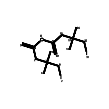 C=C(CC(C)(C)CI)OC(=C)CC(C)(C)CI